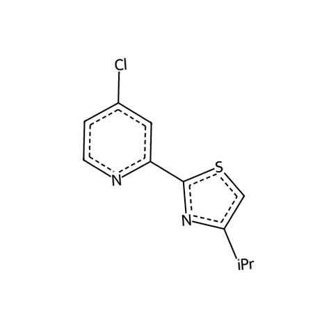 CC(C)c1csc(-c2cc(Cl)ccn2)n1